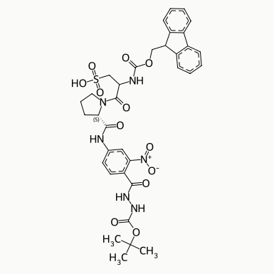 CC(C)(C)OC(=O)NNC(=O)c1ccc(NC(=O)[C@@H]2CCCN2C(=O)C(CS(=O)(=O)O)NC(=O)OCC2c3ccccc3-c3ccccc32)cc1[N+](=O)[O-]